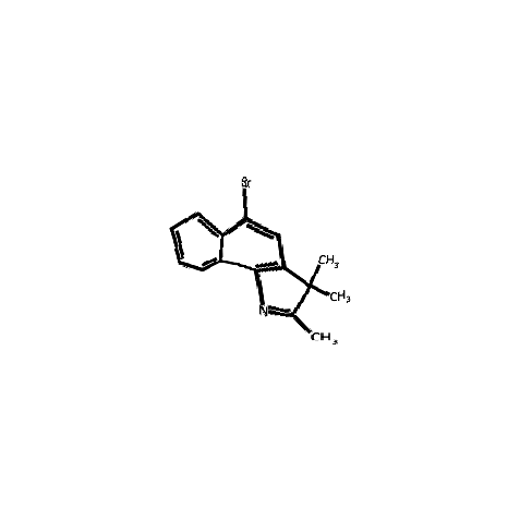 CC1=Nc2c(cc(Br)c3ccccc23)C1(C)C